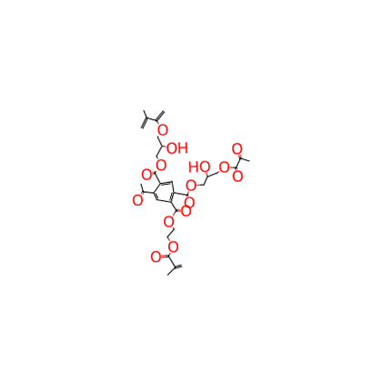 C=C(C)C(=C)OCC(O)COC(=O)c1cc(C(=O)OCC(O)COC(=O)C(C)=O)c(C(=O)OCCOC(=O)C(=C)C)cc1C(C)=O